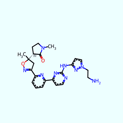 CN1CC[C@@H](C2(C)CC(c3cccc(-c4ccnc(Nc5ccn(CCN)n5)n4)n3)=NO2)C1=O